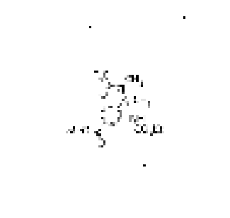 CCOC(=O)Nc1cc(C(=O)OC)ccc1[C@@H](C)N(C)C(=O)C(F)(F)F